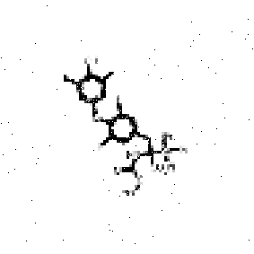 CC(C)[Si](C(C)C)(C(C)C)C(Cc1cc(I)c(Oc2cc(I)c(O)c(I)c2)c(I)c1)(NC(=O)OC(C)(C)C)C(=O)O